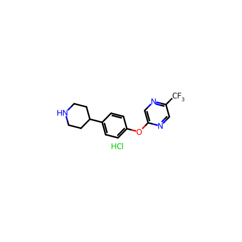 Cl.FC(F)(F)c1cnc(Oc2ccc(C3CCNCC3)cc2)cn1